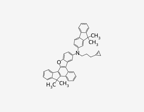 CC1(C)c2ccccc2-c2ccc(N(CCCC3=CC3)c3ccc4oc5c6c(c7ccccc7c5c4c3)C(C)(C)c3ccccc3-6)cc21